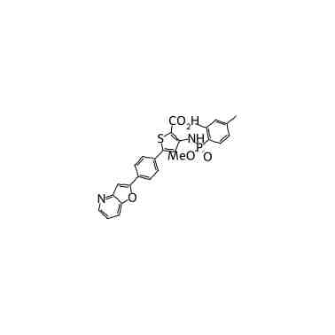 COP(=O)(Nc1cc(-c2ccc(-c3cc4ncccc4o3)cc2)sc1C(=O)O)c1ccc(C)cc1C